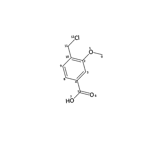 COc1cc(C(=O)O)ccc1CCl